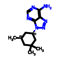 C[C@H]1C[C@H](n2nnc3c(N)ncnc32)CC(C)(C)C1